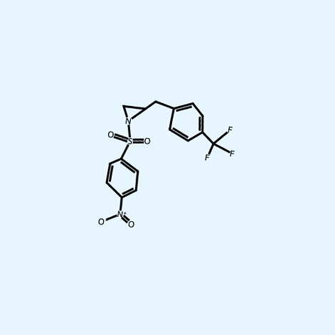 O=[N+]([O-])c1ccc(S(=O)(=O)N2CC2Cc2ccc(C(F)(F)F)cc2)cc1